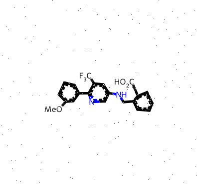 COc1cccc(-c2ncc(NCc3ccccc3C(=O)O)cc2C(F)(F)F)c1